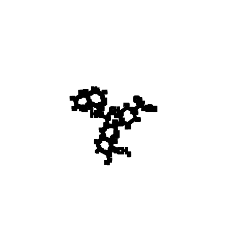 Cc1c(F)ccc2cc([C@H](C)Nc3ncnc4cccnc34)c(N3CCN(C(=O)C(C)(C)C)CC3)nc12